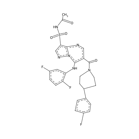 CC(=O)NS(=O)(=O)c1cnn2c(Nc3cc(F)ccc3F)c(C(=O)N3CCC(c4ccc(F)cc4)CC3)cnc12